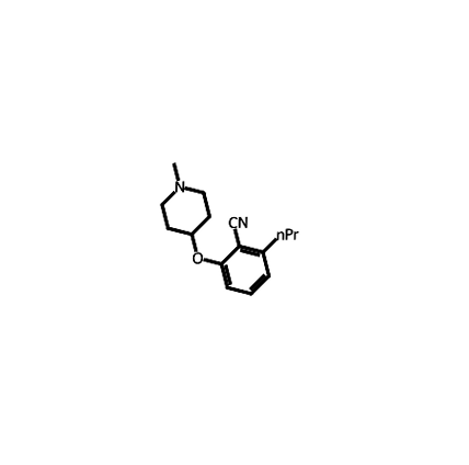 CCCc1cccc(OC2CCN(C)CC2)c1C#N